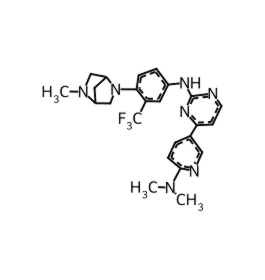 CN(C)c1ccc(-c2ccnc(Nc3ccc(N4CC5CC4CN5C)c(C(F)(F)F)c3)n2)cn1